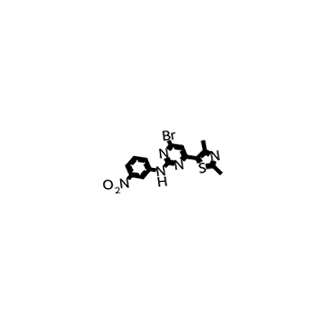 Cc1nc(C)c(-c2cc(Br)nc(Nc3cccc([N+](=O)[O-])c3)n2)s1